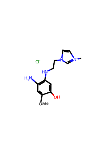 COc1cc(N)c(NCCn2cc[n+](C)c2)cc1O.[Cl-]